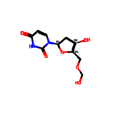 O=c1ccn([C@H]2C[C@H](O)[C@@H](COCO)O2)c(=O)[nH]1